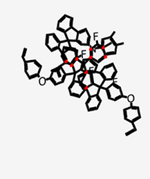 C=Cc1ccc(Oc2ccc(C3(c4c(F)cccc4F)c4ccccc4-c4ccc(C(c5ccc(C)c(F)c5)c5ccc6c(c5)C5(c7ccccc7-6)c6ccccc6-c6ccc(N(c7ccc(C)c(C)c7)c7ccc8c(c7)C(c7ccc(Oc9ccc(C=C)cc9)cc7)(c7c(F)cccc7C(=C)C)c7ccccc7-8)cc65)cc43)cc2)cc1